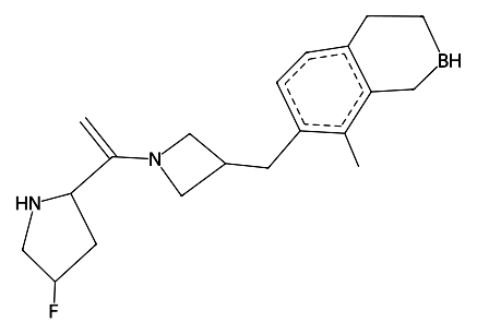 C=C(C1CC(F)CN1)N1CC(Cc2ccc3c(c2C)CBCC3)C1